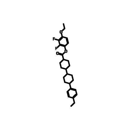 CCOc1ccc(OC(=O)C2CCC(C3CCC(c4ccc(CC)cc4)CC3)CC2)c(F)c1F